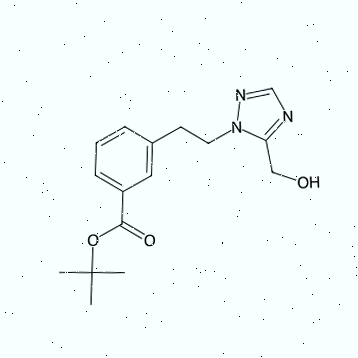 CC(C)(C)OC(=O)c1cccc(CCn2ncnc2CO)c1